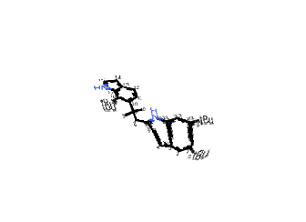 CC(C)(C)c1cc2cc(CC(C)(C)c3ccc4cc[nH]c4c3C(C)(C)C)[nH]c2cc1C(C)(C)C